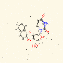 O=c1ccn([C@@H]2O[C@H](CO)C(O)[C@@H]2Oc2cccc3ccccc23)c(=O)[nH]1